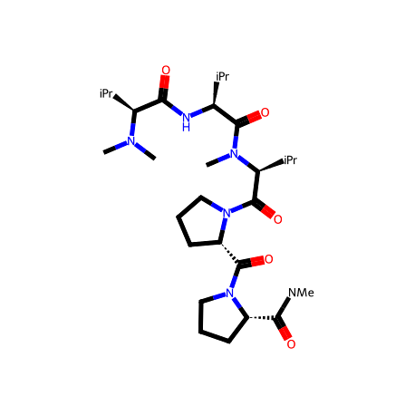 CNC(=O)[C@@H]1CCCN1C(=O)[C@@H]1CCCN1C(=O)[C@H](C(C)C)N(C)C(=O)[C@@H](NC(=O)[C@H](C(C)C)N(C)C)C(C)C